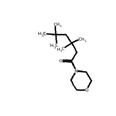 CC(C)(C)CC(C)(C)CC(=O)N1CCOCC1